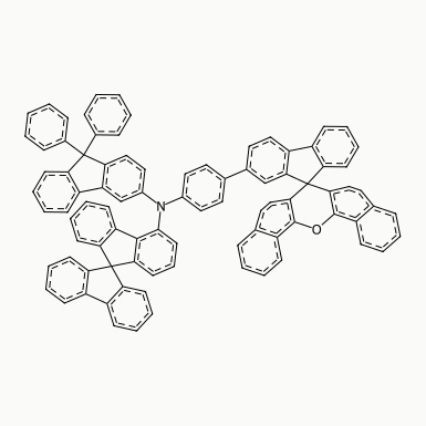 c1ccc(C2(c3ccccc3)c3ccccc3-c3cc(N(c4ccc(-c5ccc6c(c5)C5(c7ccccc7-6)c6ccc7ccccc7c6Oc6c5ccc5ccccc65)cc4)c4cccc5c4-c4ccccc4C54c5ccccc5-c5ccccc54)ccc32)cc1